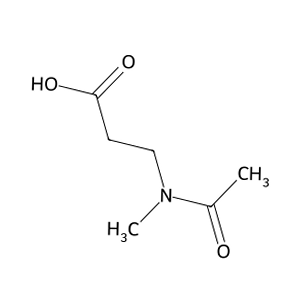 CC(=O)N(C)CCC(=O)O